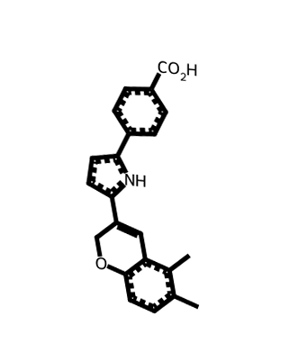 Cc1ccc2c(c1C)C=C(c1ccc(-c3ccc(C(=O)O)cc3)[nH]1)CO2